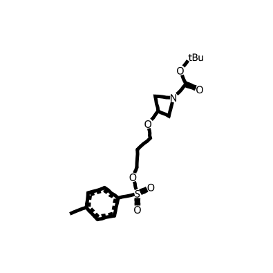 Cc1ccc(S(=O)(=O)OCCCOC2CN(C(=O)OC(C)(C)C)C2)cc1